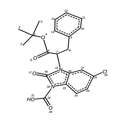 CC(C)(C)OC(=O)C(Cc1ccccc1)n1c(=O)n(C(=O)O)c2ccc(Cl)cc21